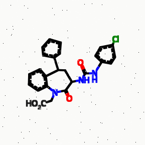 O=C(O)CN1C(=O)C(NC(=O)Nc2ccc(Cl)cc2)CC(c2ccccc2)c2ccccc21